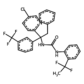 CC(F)(F)c1ccccc1NC(=O)NC(Cc1ccccc1)(c1cccc(C(F)(F)F)c1)c1ccc(Cl)cn1